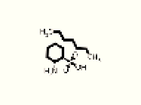 CCCCCCC.N[C@@H]1CCCC[C@H]1S(=O)(=O)O